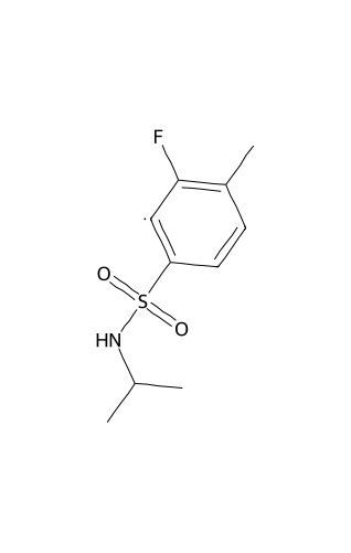 Cc1ccc(S(=O)(=O)NC(C)C)[c]c1F